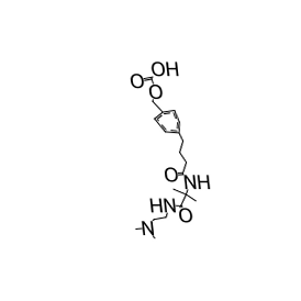 CN(C)CCNC(=O)C(C)(C)NC(=O)CCCc1ccc(COC(=O)O)cc1